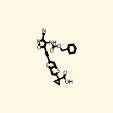 N#Cc1noc(C#Cc2cc3sc(C4(C(=O)O)CC4)cc3s2)c1NC(=O)OCc1ccccc1